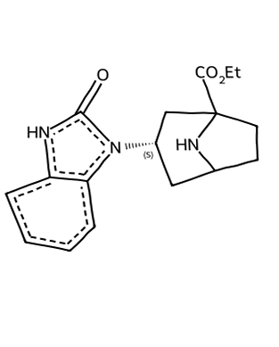 CCOC(=O)C12CCC(C[C@H](n3c(=O)[nH]c4ccccc43)C1)N2